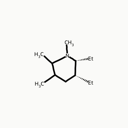 CC[C@@H]1CC(C)C(C)N(C)[C@@H]1CC